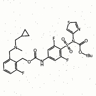 CN(Cc1cccc(F)c1COC(=O)Nc1cc(F)c(S(=O)(=O)N(C(=O)OC(C)(C)C)c2cscn2)c(F)c1)CC1CC1